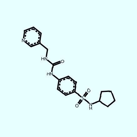 O=C(NCc1cccnc1)Nc1ccc(S(=O)(=O)NC2CCCC2)cc1